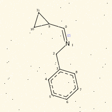 C(=N/Cc1ccccc1)/C1CC1